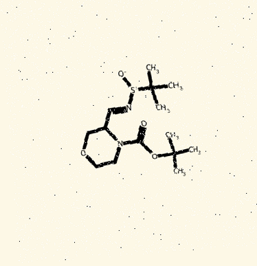 CC(C)(C)OC(=O)N1CCOCC1C=N[S+]([O-])C(C)(C)C